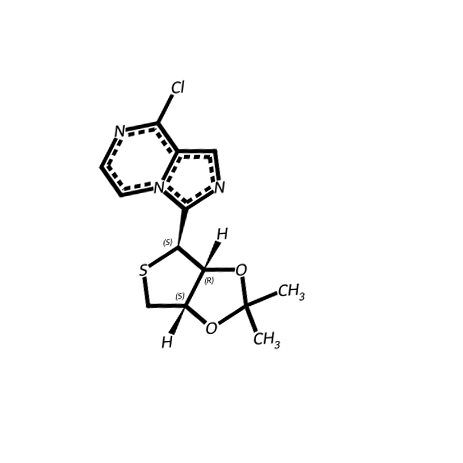 CC1(C)O[C@@H]2[C@@H](CS[C@H]2c2ncc3c(Cl)nccn23)O1